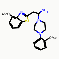 COc1ccccc1N1CCN(C(N)Cc2nc3c(OC)cccc3s2)CC1